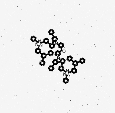 O=C(c1cccc(-n2c3ccc(-c4ccccc4)cc3c3c(-c4cccc(-c5nc(-c6ccccc6)nc(-c6cccc(-c7cc(-c8ccccc8)cc(-c8ccccc8)c7)c6)n5)c4)cccc32)c1)c1cccc(-n2c3ccc(-c4ccccc4)cc3c3c(-c4cccc(-c5nc(-c6ccccc6)nc(-c6cccc(-c7cc(-c8ccccc8)cc(-c8ccccc8)c7)c6)n5)c4)cccc32)c1